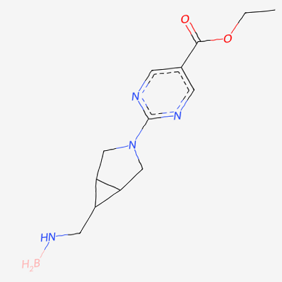 BNCC1C2CN(c3ncc(C(=O)OCC)cn3)CC12